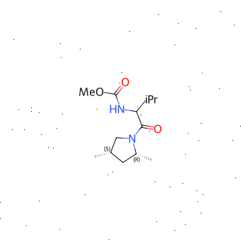 COC(=O)NC(C(=O)N1C[C@@H](C)C[C@H]1C)C(C)C